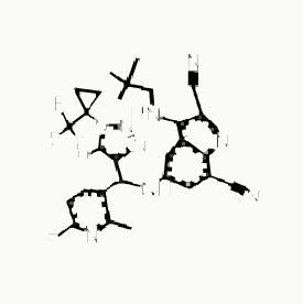 [2H]c1c(C(Nc2cc(C#N)c3ncc(C#N)c(NCC(C)(C)C)c3c2)c2ccc(F)nc2C)nnn1C1(C(F)(F)F)CC1